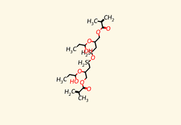 C=C(C)C(=O)OCC(C[SiH2]O[SiH2]CC(COC(=O)C(=C)C)OC(O)CC)OC(O)CC